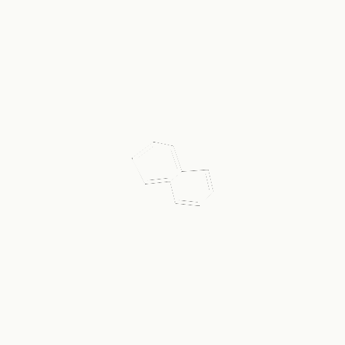 [c]1[c][c]c2c[c][c][c]c2[c]1